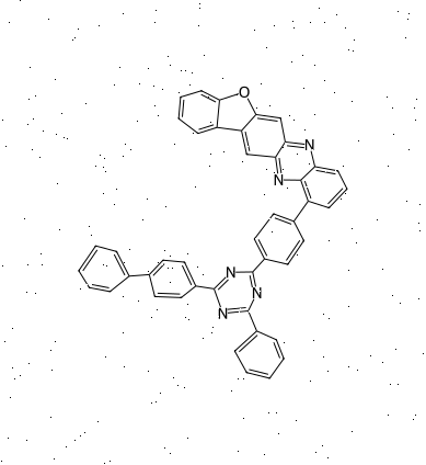 c1ccc(-c2ccc(-c3nc(-c4ccccc4)nc(-c4ccc(-c5cccc6nc7cc8oc9ccccc9c8cc7nc56)cc4)n3)cc2)cc1